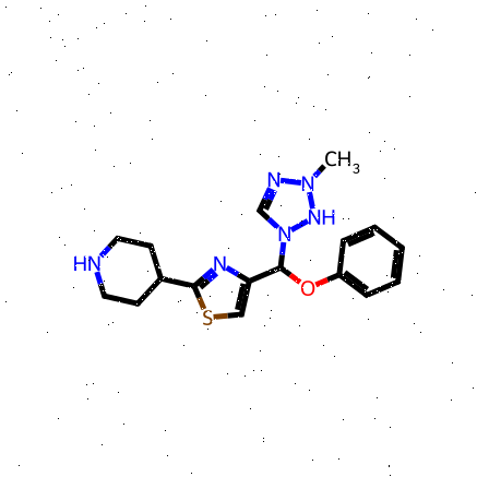 CN1N=CN(C(Oc2ccccc2)c2csc(C3CCNCC3)n2)N1